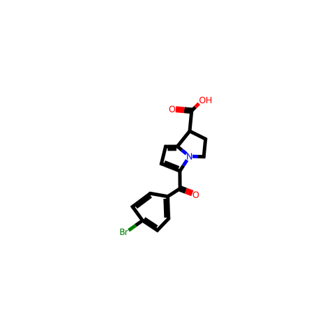 O=C(c1ccc(Br)cc1)c1ccc2n1CCC2C(=O)O